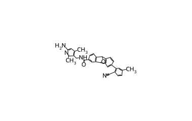 Cc1ccc(C#N)c(-c2ccc3c(c2)C2OC3c3ccc(C(=O)NCc4c(C)cc(N)nc4C)cc32)c1